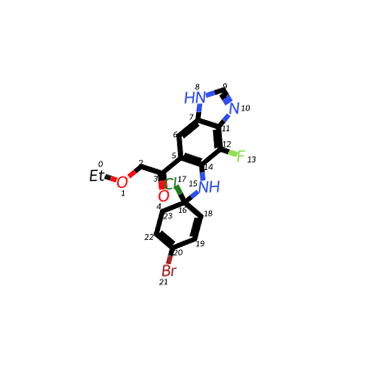 CCOCC(=O)c1cc2[nH]cnc2c(F)c1NC1(Cl)C=CC(Br)=CC1